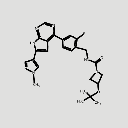 Cn1cc(-c2cc3c(-c4ccc(CNC(=O)N5CC(OC(C)(C)C)C5)c(F)c4)ncnc3[nH]2)cn1